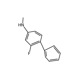 CNc1ccc(-c2ccccc2)c(F)c1